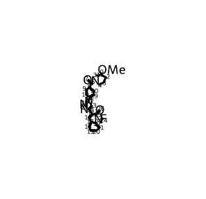 COC1CCCN(C(=O)c2ccc(-n3cc(-c4cc5ccccc5n(F)c4=O)nn3)cc2)C1